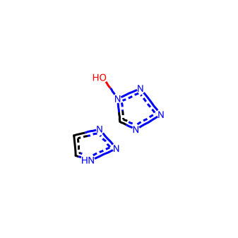 On1cnnn1.c1c[nH]nn1